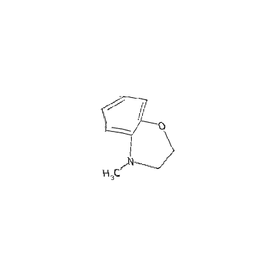 CN1CCOc2c[c]ccc21